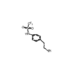 CC(C)CCc1ccc(NS(=O)(=O)C(F)(F)F)cc1